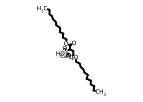 CCCCCCCCCCCCOC(=O)CC(C(=O)OCCCCCCCCCCCC)S(=O)(=O)O.[CaH2]